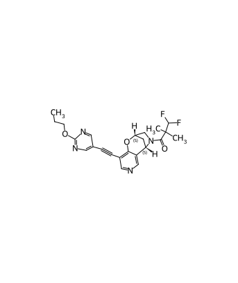 CCCOc1ncc(C#Cc2cncc3c2O[C@H]2C[C@@H]3N(C(=O)C(C)(C)C(F)F)C2)cn1